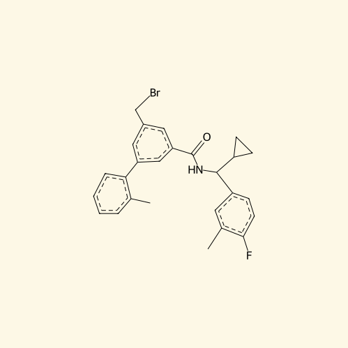 Cc1cc(C(NC(=O)c2cc(CBr)cc(-c3ccccc3C)c2)C2CC2)ccc1F